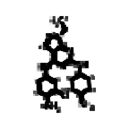 CCn1nnc2c(Nc3ccc(N)c(Cl)c3)nc(NC3CCC(N)CC3)nc21